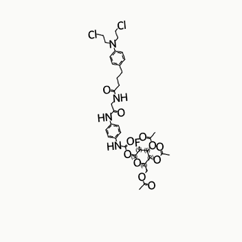 CC(=O)OC[C@H]1O[C@@H](OC(=O)Nc2ccc(NC(=O)CNC(=O)CCCc3ccc(N(CCCl)CCCl)cc3)cc2)[C@@H](F)[C@@H](OC(C)=O)[C@@H]1OC(C)=O